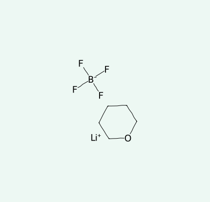 C1CCOCC1.F[B-](F)(F)F.[Li+]